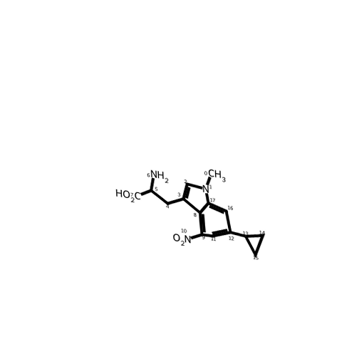 Cn1cc(CC(N)C(=O)O)c2c([N+](=O)[O-])cc(C3CC3)cc21